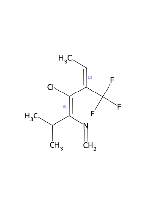 C=N/C(=C(Cl)\C(=C/C)C(F)(F)F)C(C)C